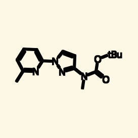 Cc1cccc(-n2ccc(N(C)C(=O)OC(C)(C)C)n2)n1